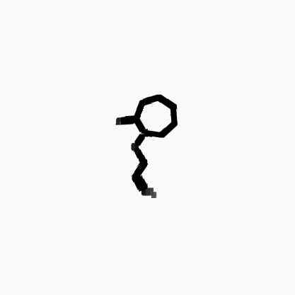 C=CCON1CCCCCC1=O